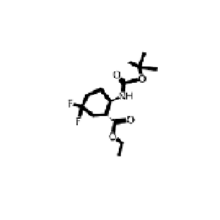 CCOC(=O)[C@@H]1CC(F)(F)CC[C@H]1NC(=O)OC(C)(C)C